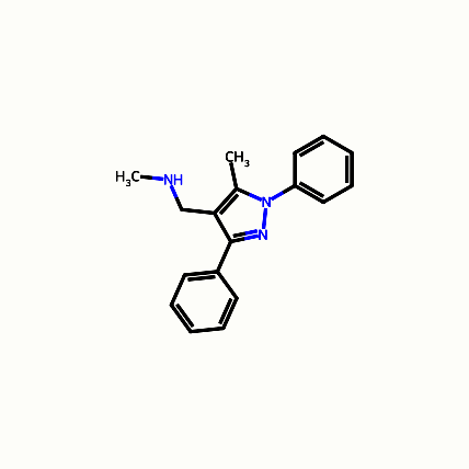 CNCc1c(-c2ccccc2)nn(-c2ccccc2)c1C